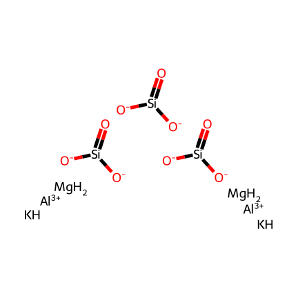 O=[Si]([O-])[O-].O=[Si]([O-])[O-].O=[Si]([O-])[O-].[Al+3].[Al+3].[KH].[KH].[MgH2].[MgH2]